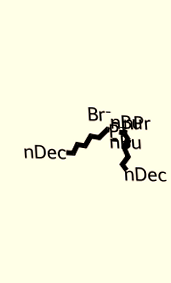 CCCCCCCCCCCCC=CC(CCC)[P+](CCCC)(CCCC)CCCCCCCCCCCCCCCC.[Br-]